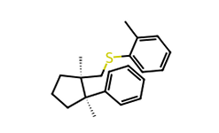 Cc1ccccc1SC[C@]1(C)CCC[C@]1(C)c1ccccc1